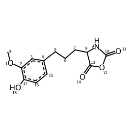 COc1cc(CCCC2NC(=O)OC2=O)ccc1O